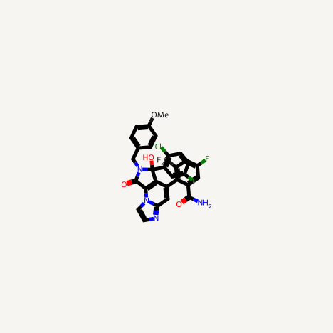 COc1ccc(CN2C(=O)c3c(c(-c4c(C(N)=O)cc(F)cc4C(F)(F)F)cc4nccn34)C2(O)c2cc(F)ccc2Cl)cc1